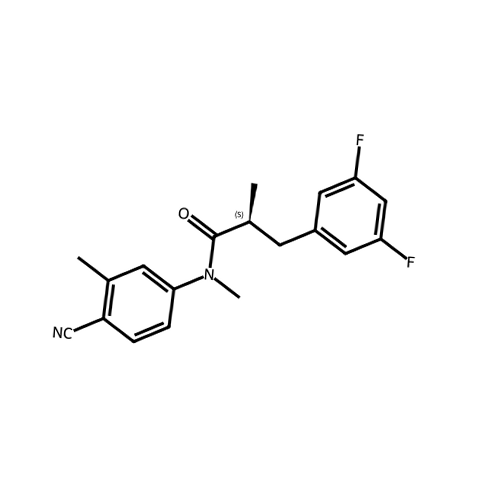 Cc1cc(N(C)C(=O)[C@@H](C)Cc2cc(F)cc(F)c2)ccc1C#N